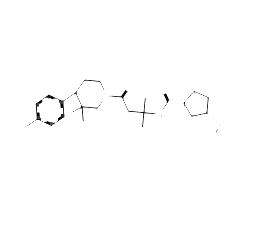 CC(C)(CC(=O)N1CC[C@](O)(c2ccc(Cl)cc2)C(C)(C)C1)NC(=O)[C@@H]1CC[C@@H](NC(=O)O)C1